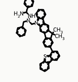 CC1(C)c2cc(-c3cccc4c3sc3ccccc34)ccc2-c2cc3c(cc21)c1ccccc1n3CN(Cc1ccccc1)NC(N)c1ccccc1